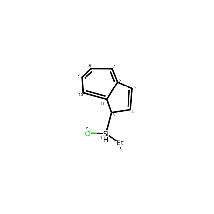 CC[SiH](Cl)C1C=Cc2ccccc21